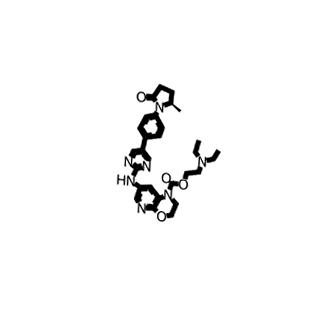 CCN(CC)CCOC(=O)N1CCOc2ncc(Nc3ncc(-c4ccc(N5C(=O)CC[C@H]5C)cc4)cn3)cc21